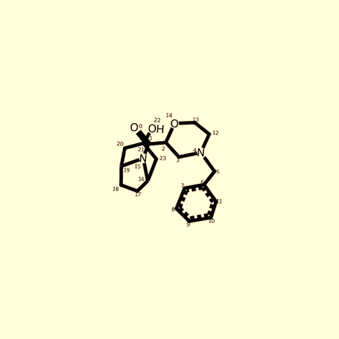 O=C(C1CN(Cc2ccccc2)CCO1)N1C2CCC1CC(O)C2